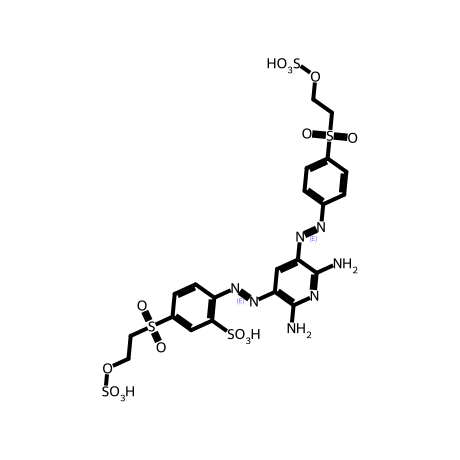 Nc1nc(N)c(/N=N/c2ccc(S(=O)(=O)CCOS(=O)(=O)O)cc2S(=O)(=O)O)cc1/N=N/c1ccc(S(=O)(=O)CCOS(=O)(=O)O)cc1